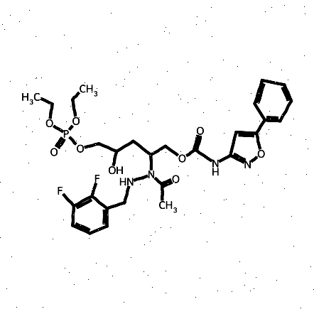 CCOP(=O)(OCC)OCC(O)CC(COC(=O)Nc1cc(-c2ccccc2)on1)N(NCc1cccc(F)c1F)C(C)=O